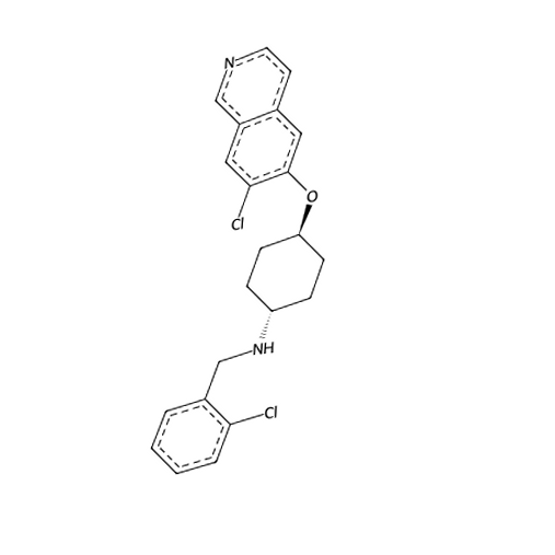 Clc1ccccc1CN[C@H]1CC[C@H](Oc2cc3ccncc3cc2Cl)CC1